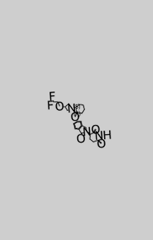 O=C1CCC(N2Cc3cc(O[C@@H]4CCCC[C@@H]4N4CC(OCC(F)F)C4)ccc3C2=O)C(=O)N1